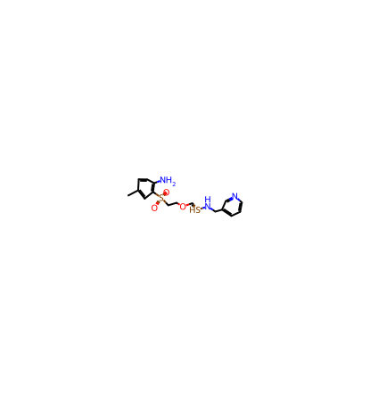 Cc1ccc(N)c(S(=O)(=O)CCOC=[SH]NCc2cccnc2)c1